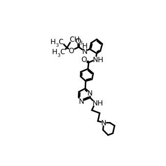 CC(C)(C)OC(=O)Nc1ccccc1NC(=O)c1ccc(-c2ccnc(NCCCN3CCCCC3)n2)cc1